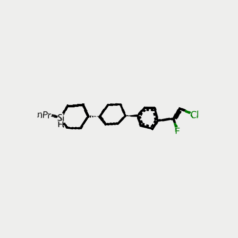 CCC[SiH]1CCC([C@H]2CC[C@H](c3ccc(/C(F)=C/Cl)cc3)CC2)CC1